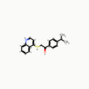 CC(C)c1ccc(C(=O)CSc2ccnc3ccccc23)cc1